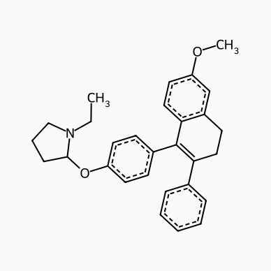 CCN1CCCC1Oc1ccc(C2=C(c3ccccc3)CCc3cc(OC)ccc32)cc1